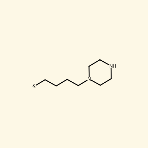 [S]CCCCN1CCNCC1